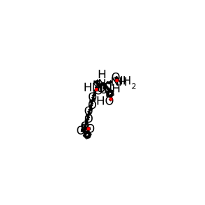 CC(C)[C@H](NC(=O)CCOCCOCCOCCOCCON1C(=O)c2ccccc2C1=O)C(=O)N[C@@H](CCCNC(N)=O)C(=O)Nc1ccc(CO)cc1